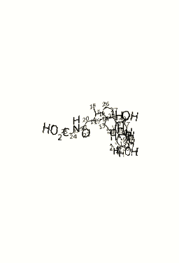 [2H]C1([2H])C[C@@]2(C)[C@H](C[C@H](O)[C@@H]3[C@@H]2CC[C@]2(C)[C@@H]([C@H](C)CCC(=O)NCC(=O)O)CC[C@@H]32)C([2H])([2H])[C@@H]1O